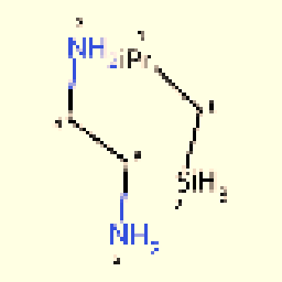 CC(C)C[SiH3].NCCN